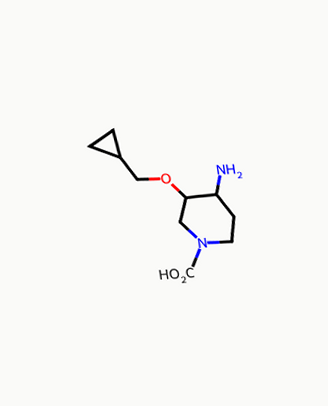 NC1CCN(C(=O)O)CC1OCC1CC1